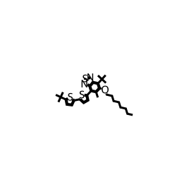 CCCCCCCCOc1c(C)c(-c2ccc(-c3ccc(C(C)(C)C)s3)s2)c2nsnc2c1C(C)(C)C